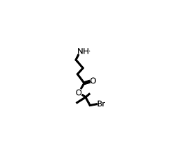 CC(C)(CBr)OC(=O)CCC[NH]